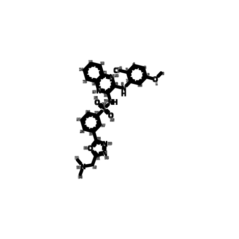 COc1ccc(Cl)c(Nc2nc3ccccc3nc2NS(=O)(=O)c2cccc(-c3nnc(CN(C)C)o3)c2)c1